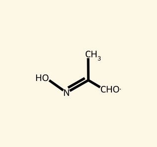 CC([C]=O)=NO